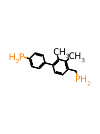 Cc1c(CP)ccc(-c2ccc(P)cc2)c1C